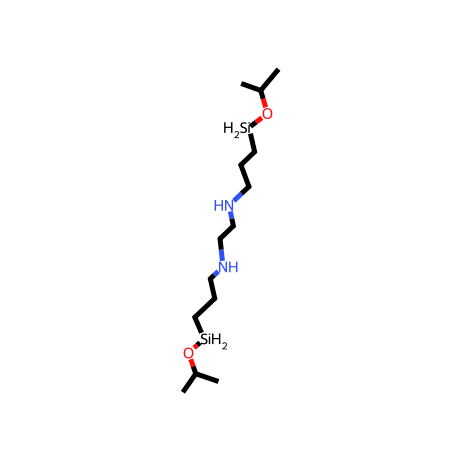 CC(C)O[SiH2]CCCNCCNCCC[SiH2]OC(C)C